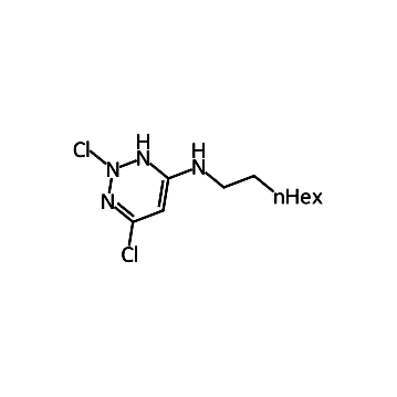 CCCCCCCCNC1=CC(Cl)=NN(Cl)N1